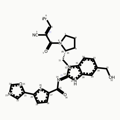 CC(C)/C=C(\C#N)C(=O)N1CCC[C@@H]1Cn1/c(=N/C(=O)c2ccc(-c3cnco3)s2)[nH]c2cc(CO)ccc21